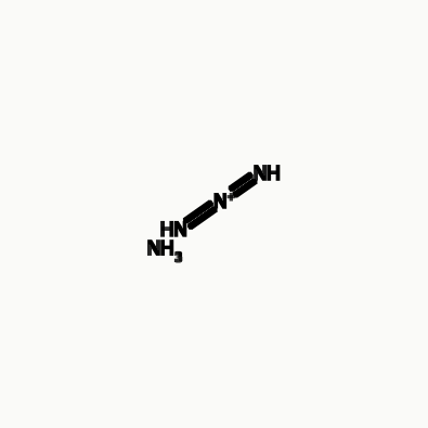 N.N=[N+]=N